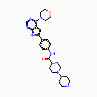 O=C(Nc1ccc(-c2cc3c(N4CCOCC4)ncnc3[nH]2)cc1)C1CCN(C2CCNCC2)CC1